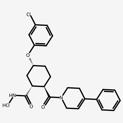 O=C(NO)[C@@H]1C[C@H](Oc2cccc(Cl)c2)CC[C@H]1C(=O)N1CC=C(c2ccccc2)CC1